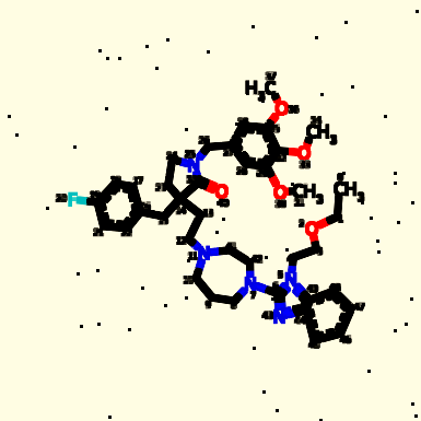 CCOCCn1c(N2CCCN(CCC3(Cc4ccc(F)cc4)CCN(Cc4cc(OC)c(OC)c(OC)c4)C3=O)CC2)nc2ccccc21